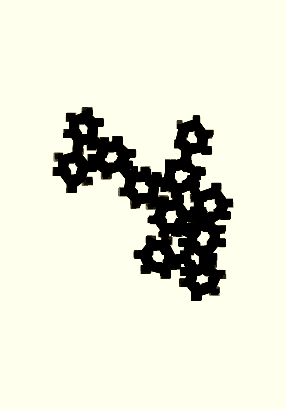 c1ccc(-c2nc(-c3ccccc3)nc(-c3cc(-c4ccc(-c5ccccc5)c(-c5ccccc5)c4)ccc3-c3ccc4c(c3)Cc3ccc5c6ccccc6n(-c6ccccc6)c5c3-4)n2)cc1